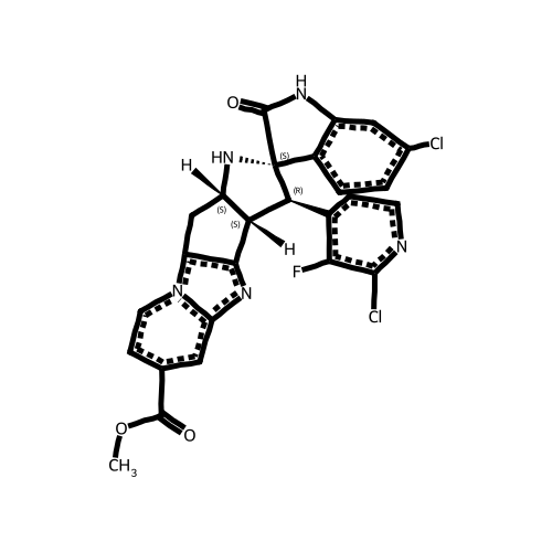 COC(=O)c1ccn2c3c(nc2c1)[C@@H]1[C@H](C3)N[C@@]2(C(=O)Nc3cc(Cl)ccc32)[C@H]1c1ccnc(Cl)c1F